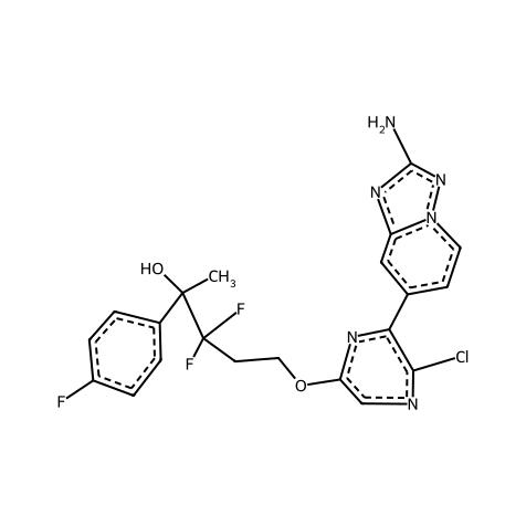 CC(O)(c1ccc(F)cc1)C(F)(F)CCOc1cnc(Cl)c(-c2ccn3nc(N)nc3c2)n1